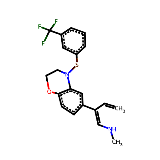 C=C/C(=C\NC)c1ccc2c(c1)N(Sc1cccc(C(F)(F)F)c1)CCO2